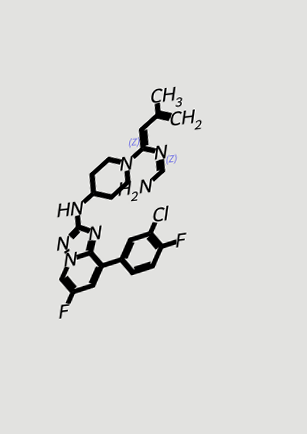 C=C(C)/C=C(\N=C/N)N1CCC(Nc2nc3c(-c4ccc(F)c(Cl)c4)cc(F)cn3n2)CC1